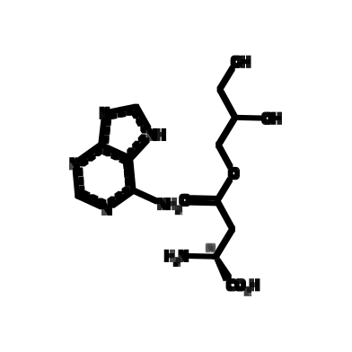 N[C@@H](CC(=O)OCC(O)CO)C(=O)O.Nc1ncnc2nc[nH]c12